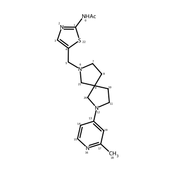 CC(=O)Nc1ncc(CN2CCC3(CCN(c4ccnc(C)c4)C3)C2)s1